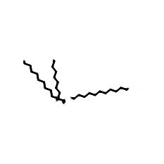 CCCCCCCCCCCCOC(=O)C(C)(CCCCCCCC)CCCCCCCCCC